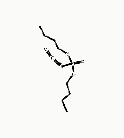 CCCCOP(=O)(N=C=O)OCCCC